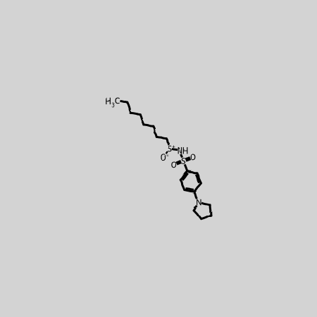 CCCCCCCC[S+]([O-])NS(=O)(=O)c1ccc(N2CCCC2)cc1